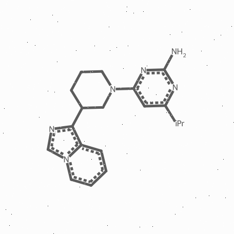 CC(C)c1cc(N2CCCC(c3ncn4ccccc34)C2)nc(N)n1